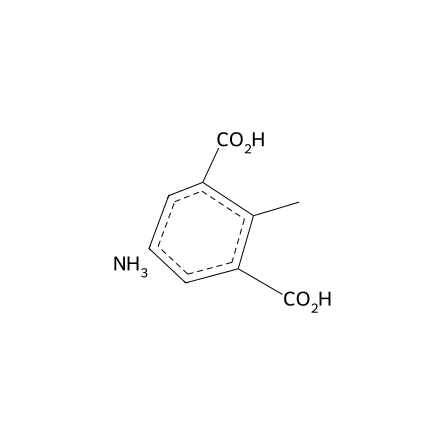 Cc1c(C(=O)O)cccc1C(=O)O.N